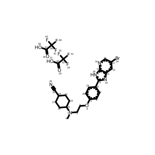 CN(CCOc1ccc(-c2nc3cc(Br)cnc3[nH]2)cc1)C1CCC(C#N)CC1.O=C(O)C(F)(F)F.O=C(O)C(F)(F)F